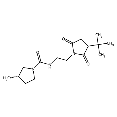 C[C@H]1CCN(C(=O)NCCN2C(=O)CC(C(C)(C)C)C2=O)C1